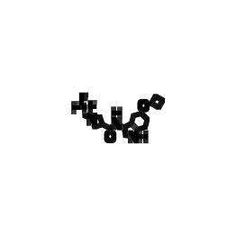 O=C(NC1=CNC2CCC(OC3CCC3)CC12)C1CN(CC(F)(F)F)C1